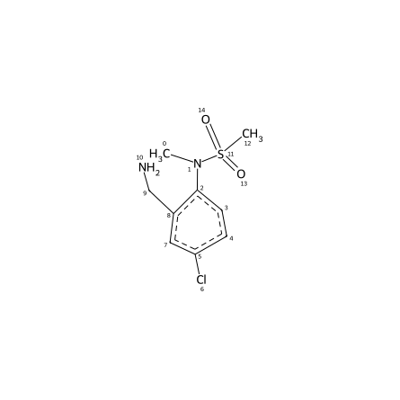 CN(c1ccc(Cl)cc1CN)S(C)(=O)=O